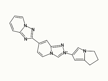 c1ccn2nc(-c3ccn4c[n+](-c5cc6n(c5)CCC6)nc4c3)nc2c1